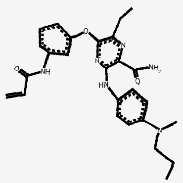 C=CC(=O)Nc1cccc(Oc2nc(Nc3ccc(N(C)CCC)cc3)c(C(N)=O)nc2CC)c1